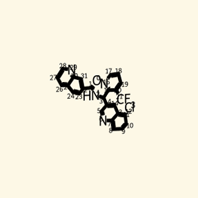 O=C(NC(c1cnc2cccc(Cl)c2c1)c1ncccc1C(F)(F)F)c1ccc2cccnc2c1